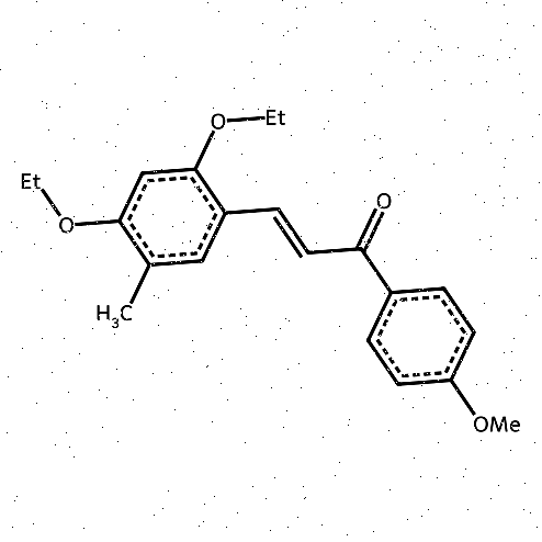 CCOc1cc(OCC)c(C=CC(=O)c2ccc(OC)cc2)cc1C